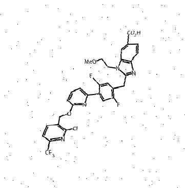 COCCn1c(Cc2cc(F)c(-c3cccc(OCc4ccc(C(F)(F)F)nc4Cl)n3)cc2F)nc2ccc(C(=O)O)cc21